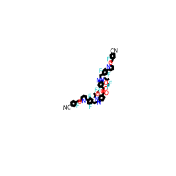 CC(Cn1c(Cc2cc(F)c(-c3cccc(OCc4ccc(C#N)cc4F)n3)cc2F)nc2ccc(C(=O)OC(=O)c3ccc4nc(Cc5cc(F)c(-c6cccc(OCc7ccc(C#N)cc7F)n6)cc5F)n(CC(C)OC(F)F)c4c3)cc21)OC(F)F